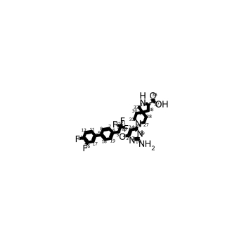 Nc1nc(OC(c2ccc(-c3ccc(F)c(F)c3)cc2)C(F)(F)F)cc(N2CCC3(CC2)CN[C@H](C(=O)O)C3)n1